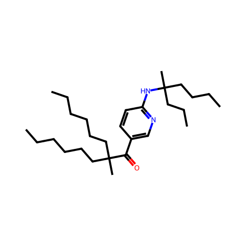 CCCCCCC(C)(CCCCCC)C(=O)c1ccc(NC(C)(CCC)CCCC)nc1